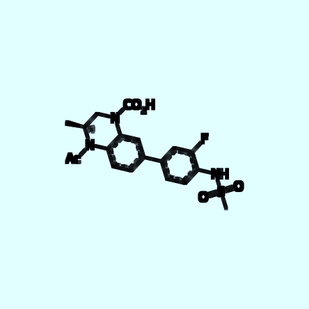 CC(=O)N1c2ccc(-c3ccc(NS(C)(=O)=O)c(F)c3)cc2N(C(=O)O)C[C@@H]1C